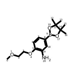 COCCOc1ccc(B2OC(C)(C)C(C)(C)O2)cc1N